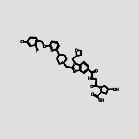 O=C(NCC(=O)N1C[C@@H](O)C[C@H]1C(=O)O)c1ccc2c(c1)nc(CN1CCC(c3cccc(OCc4ccc(Cl)cc4F)n3)CC1)n2C[C@@H]1CCO1